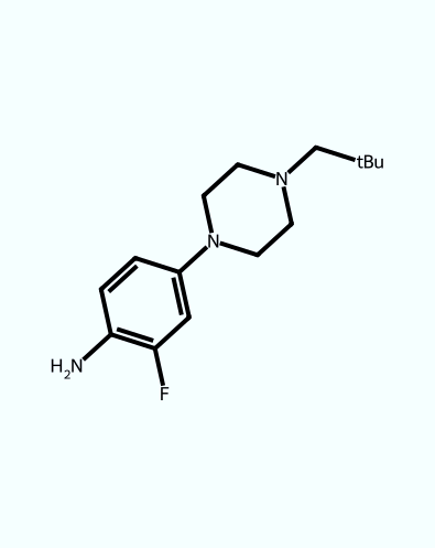 CC(C)(C)CN1CCN(c2ccc(N)c(F)c2)CC1